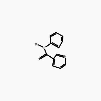 CC(C)N(C(=O)c1cccnc1)c1ccccc1